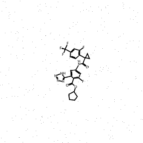 O=C(OC1CCCC1)c1c(F)cc(NC(=O)C2(c3ccc(C(F)(F)F)cc3F)CC2)cc1-c1nnn[nH]1